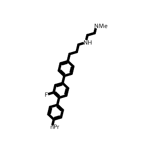 CCCc1ccc(-c2ccc(-c3ccc(CCCNCCNC)cc3)cc2F)cc1